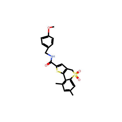 COc1ccc(CNC(=O)c2cc3c(s2)-c2c(C)cc(C)cc2S(=O)(=O)C3)cc1